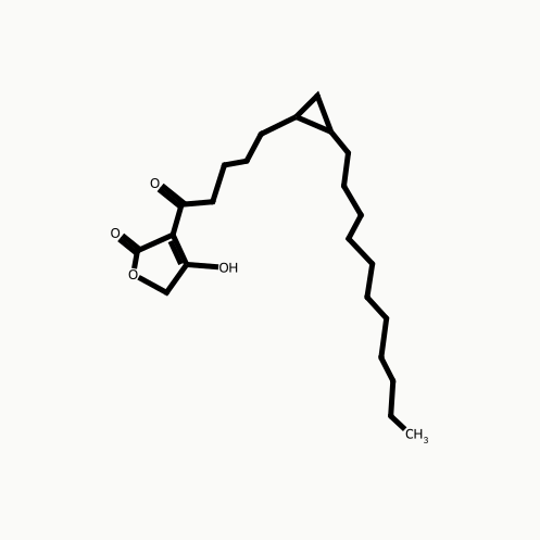 CCCCCCCCCCCC1CC1CCCCC(=O)C1=C(O)COC1=O